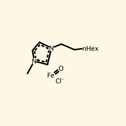 CCCCCCCCn1cc[n+](C)c1.[Cl-].[O]=[Fe]